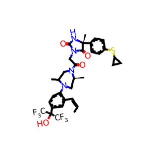 C/C=C\c1cc(C(O)(C(F)(F)F)C(F)(F)F)ccc1N1C[C@H](C)N(C(=O)CN2C(=O)N[C@](C)(c3ccc(SC4CC4)cc3)C2=O)CC1C